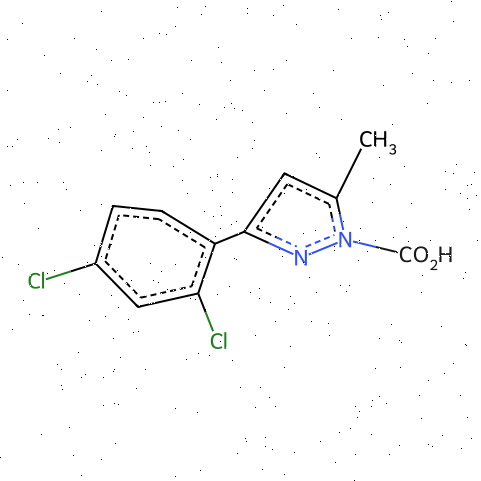 Cc1cc(-c2ccc(Cl)cc2Cl)nn1C(=O)O